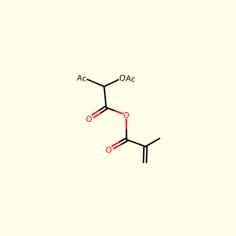 C=C(C)C(=O)OC(=O)C(OC(C)=O)C(C)=O